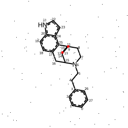 c1ccc(CCN2CCC34CCCCC3C2Cc2ccc3[nH]ccc3c24)cc1